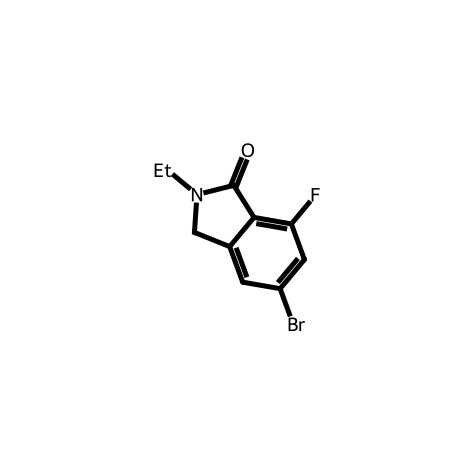 CCN1Cc2cc(Br)cc(F)c2C1=O